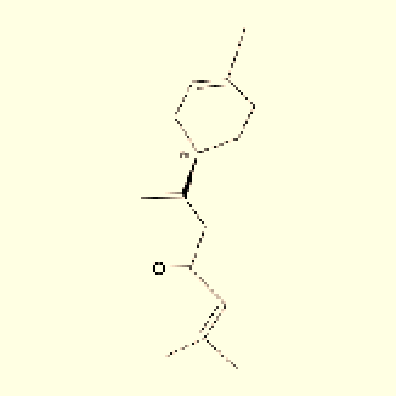 C=C(CC(=O)C=C(C)C)[C@H]1CC=C(C)CC1